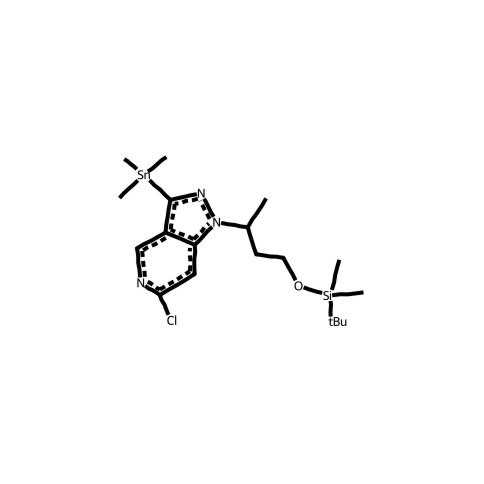 CC(CCO[Si](C)(C)C(C)(C)C)n1n[c]([Sn]([CH3])([CH3])[CH3])c2cnc(Cl)cc21